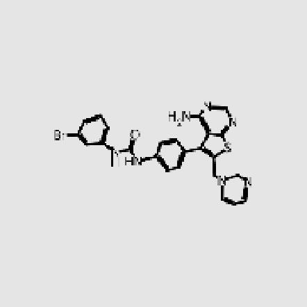 Nc1ncnc2sc(CN3C=CC=NC3)c(-c3ccc(NC(=O)Nc4cccc(Br)c4)cc3)c12